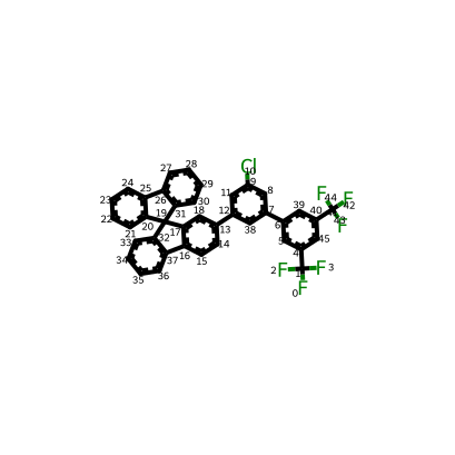 FC(F)(F)c1cc(-c2cc(Cl)cc(-c3ccc4c(c3)C3(c5ccccc5-c5ccccc53)c3ccccc3-4)c2)cc(C(F)(F)F)c1